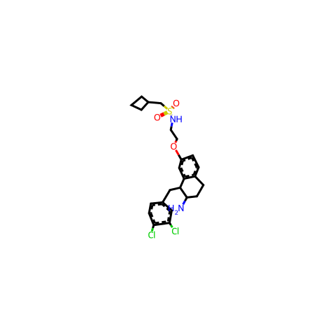 NC1CCc2ccc(OCCNS(=O)(=O)CC3CCC3)cc2C1Cc1ccc(Cl)c(Cl)c1